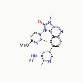 CCNc1cc(-c2ccc3ncc4c(c3c2)n(-c2ccc(OC)nc2C)c(=O)n4C)cnc1C